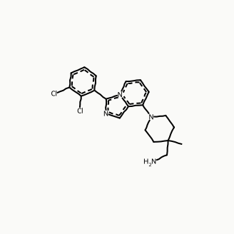 CC1(CN)CCN(c2cccn3c(-c4cccc(Cl)c4Cl)ncc23)CC1